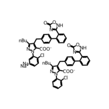 CCCCc1nn(-c2ccccc2Cl)c(C(=O)[O-])c1Cc1ccc(-c2ccccc2-c2nc(=O)o[nH]2)cc1.CCCCc1nn(-c2ccccc2Cl)c(C(=O)[O-])c1Cc1ccc(-c2ccccc2-c2nc(=O)o[nH]2)cc1.[Na+].[Na+]